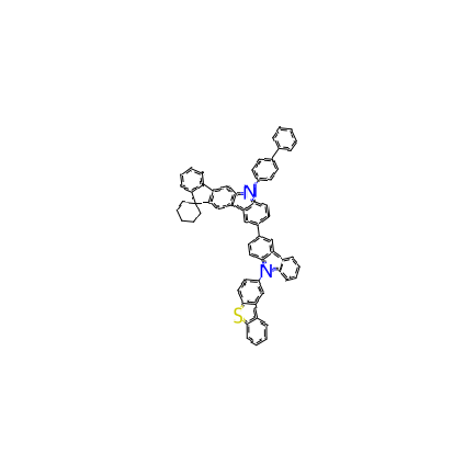 c1ccc(-c2ccc(-n3c4ccc(-c5ccc6c(c5)c5ccccc5n6-c5ccc6sc7ccccc7c6c5)cc4c4cc5c(cc43)-c3ccccc3C53CCCCC3)cc2)cc1